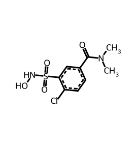 CN(C)C(=O)c1ccc(Cl)c(S(=O)(=O)NO)c1